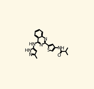 Cc1cc(Nc2nc(-c3cc(NC(=O)C(C)C)cs3)nc3ccccc23)[nH]n1